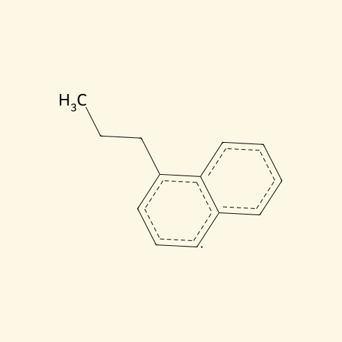 CCCc1cc[c]c2ccccc12